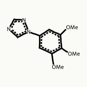 COc1cc(-n2[c]ncn2)cc(OC)c1OC